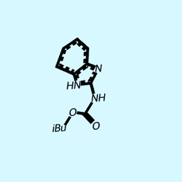 CCC(C)OC(=O)Nc1nc2ccccc2[nH]1